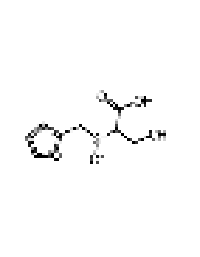 CCC(C(=O)O)[S+]([O-])Cc1ccco1